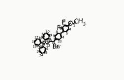 CCOc1ccc(-c2ccc(CCC[P+](c3ccccc3)(c3ccccc3)c3ccccc3)cc2)c(F)c1F.[Br-]